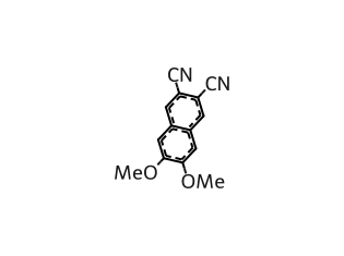 COc1cc2cc(C#N)c(C#N)cc2cc1OC